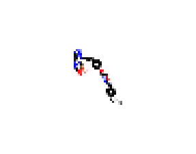 O=S1(=O)CCN(Cc2cnnn2CCCCc2ccc(OCc3coc(/C=C/c4ccc(C(F)(F)F)cc4)n3)cc2)CC1